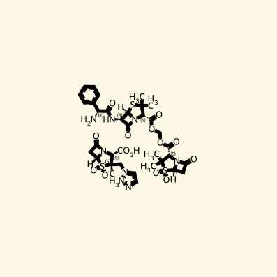 CC1(C)S[C@@H]2[C@H](NC(=O)[C@H](N)c3ccccc3)C(=O)N2[C@H]1C(=O)OCOC(=O)[C@@H]1N2C(=O)C[C@H]2S(=O)(=O)C1(C)C.C[C@]1(Cn2ccnn2)[C@H](C(=O)O)N2C(=O)C[C@H]2S1(=O)=O